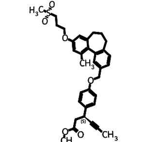 CC#C[C@@H](CC(=O)OC)c1ccc(OCc2ccc3c(c2)-c2c(C)cc(OCCCS(C)(=O)=O)cc2CCC3)cc1